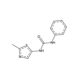 Cc1ncc(NC(=O)Nc2ccccc2)s1